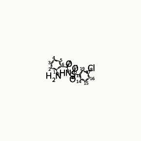 Nc1ccccc1C(=O)NS(=O)(=O)c1cccc(Cl)c1